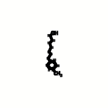 Cc1ccc(CCCCCCCO)cc1